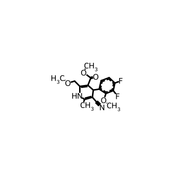 COCC1=C(C(=O)OC)C(c2ccc(F)c(F)c2OC)C(C#N)=C(C)N1